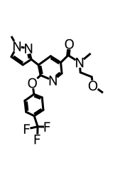 COCCN(C)C(=O)c1cnc(Oc2ccc(C(F)(F)F)cc2)c(-c2ccn(C)n2)c1